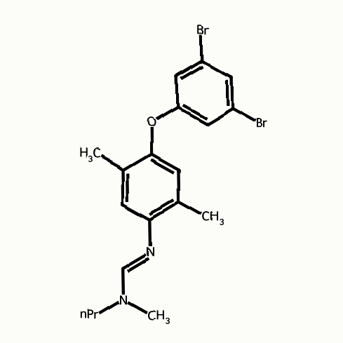 CCCN(C)C=Nc1cc(C)c(Oc2cc(Br)cc(Br)c2)cc1C